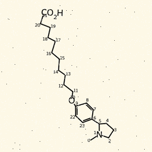 CN1CCCC1c1ccc(OCCCCCCCCCCC(=O)O)cc1